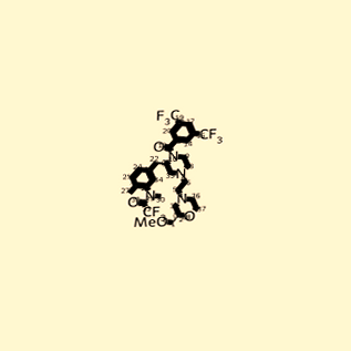 COC[C@@H]1CN(CCN2CCN(C(=O)c3cc(C(F)(F)F)cc(C(F)(F)F)c3)[C@H](Cc3ccc(C)c(N(C)C(=O)C(F)(F)F)c3)C2)CCO1